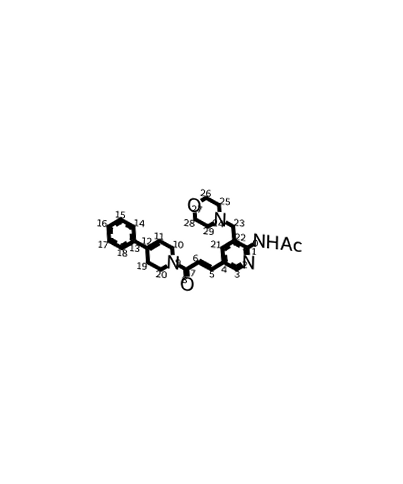 CC(=O)Nc1ncc(C=CC(=O)N2CC=C(c3ccccc3)CC2)cc1CN1CCOCC1